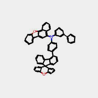 c1ccc(-c2cccc(N(c3ccc(-c4cccc5c4-c4ccccc4C54c5ccccc5Oc5ccccc54)cc3)c3cc4c5ccccc5oc4c4ccccc34)c2)cc1